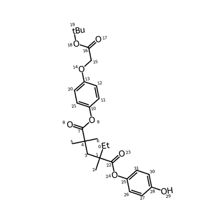 CCC(C)(CC(C)(C)C(=O)Oc1ccc(OCC(=O)OC(C)(C)C)cc1)C(=O)Oc1ccc(O)cc1